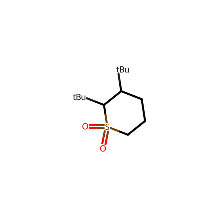 CC(C)(C)C1CCCS(=O)(=O)C1C(C)(C)C